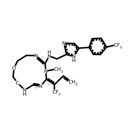 C=C/C(=C1/N=C/NCCOCC/N=C(/NCc2ncc(-c3ccc(C(F)(F)F)cc3)[nH]2)N1C)C(F)(F)F